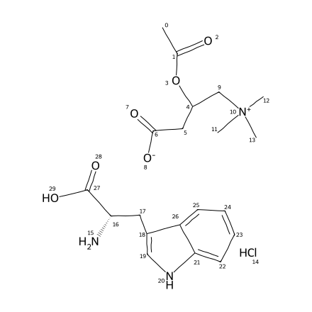 CC(=O)OC(CC(=O)[O-])C[N+](C)(C)C.Cl.N[C@@H](Cc1c[nH]c2ccccc12)C(=O)O